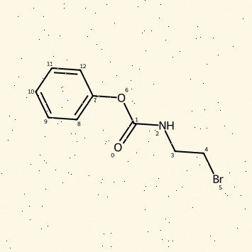 O=C(NCCBr)Oc1ccccc1